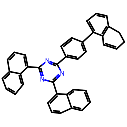 C1=Cc2c(cccc2-c2ccc(-c3nc(-c4cccc5ccccc45)nc(-c4cccc5ccccc45)n3)cc2)CC1